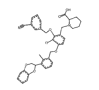 Cc1c(COc2ccc(CN3CCCCC3C(=O)O)c(OCc3cccc(C#N)c3)c2Cl)cccc1C1COc2ccccc2O1